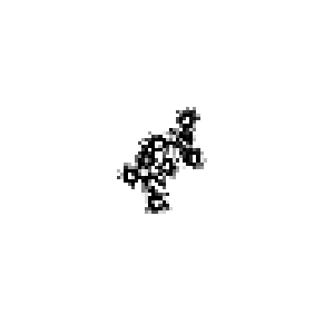 c1ccc(-c2cc(-c3ccccc3-c3ccc4c(c3)sc3ccc(-c5nc(-c6ccccc6)nc(-c6ccccc6)n5)cc34)nc(-c3ccccc3)n2)cc1